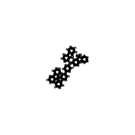 CC1(C)c2ccccc2-c2ccc(N(c3ccc(-c4ccc5c(c4)C4(c6ccccc6-c6ccccc64)c4ccccc4-5)cc3)c3cccc4c3oc3ccccc34)cc21